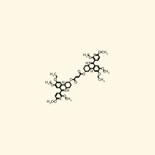 CCOc1cc2c(cc1OC)C(c1ccc(OC)nc1OC)=N[C@@H]1CC[C@@H](OC(=O)/C=C/C(=O)O[C@@H]3CC[C@H]4N=C(c5ccc(OC)nc5OC)c5cc(OC)c(OCC)cc5[C@H]4C3)C[C@H]21